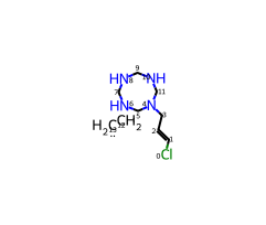 ClC=CCN1CNCNCNC1.[CH2].[CH2]